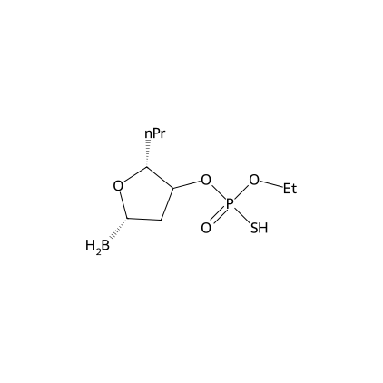 B[C@H]1CC(OP(=O)(S)OCC)[C@@H](CCC)O1